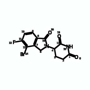 O=C1CCC(N2Cc3c(ccc(F)c3Br)C2=O)C(=O)N1